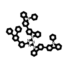 c1ccc(-c2ccc(-c3cccc(-c4nc(-n5c6ccccc6c6cc(-c7ccc8c9ccccc9n(-c9ccccc9)c8c7)ccc65)nc(-n5c6ccccc6c6cc(-c7ccc8c9ccccc9n(-c9ccccc9)c8c7)ccc65)n4)c3)cc2-c2ccccc2)cc1